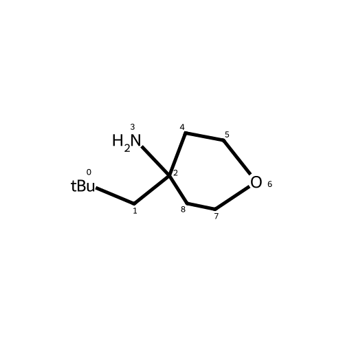 CC(C)(C)CC1(N)CCOCC1